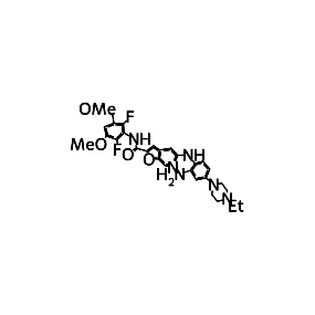 CCN1CCN(c2ccc(Nc3cc4cc(C(=O)Nc5c(F)c(OC)cc(OC)c5F)oc4cn3)c(N)c2)CC1